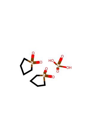 O=S(=O)(O)O.O=S1(=O)CCCC1.O=S1(=O)CCCC1